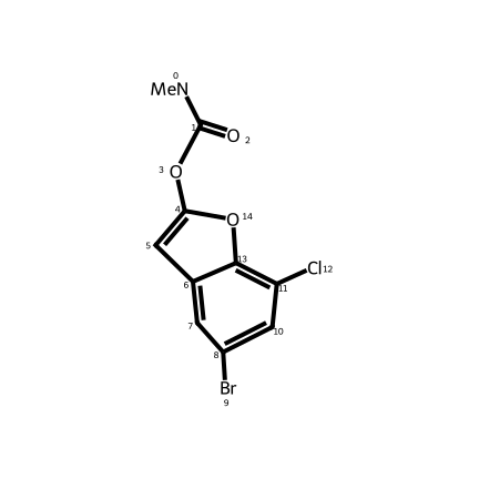 CNC(=O)Oc1cc2cc(Br)cc(Cl)c2o1